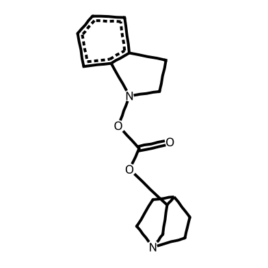 O=C(OC1CN2CCC1CC2)ON1CCc2ccccc21